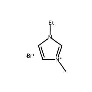 CCn1cc[n+](C)c1.[Br+]